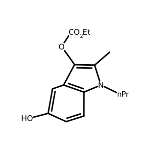 CCCn1c(C)c(OC(=O)OCC)c2cc(O)ccc21